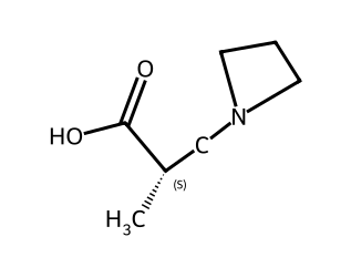 C[C@@H](CN1CCC1)C(=O)O